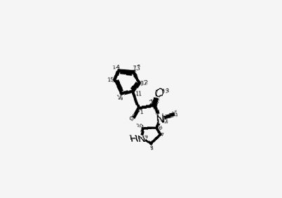 CC(C(=O)N(C)C1CCNC1)c1ccccc1